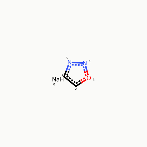 [NaH].c1conn1